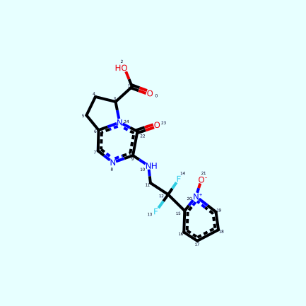 O=C(O)C1CCc2cnc(NCC(F)(F)c3cccc[n+]3[O-])c(=O)n21